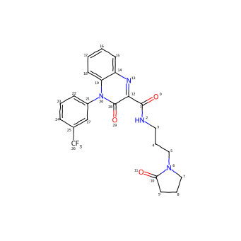 O=C(NCCCN1CCCC1=O)c1nc2ccccc2n(-c2cccc(C(F)(F)F)c2)c1=O